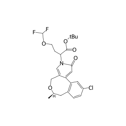 C[C@@H]1Cc2ccc(Cl)cc2-c2cc(=O)n(C(CCOC(F)F)C(=O)OC(C)(C)C)cc2CO1